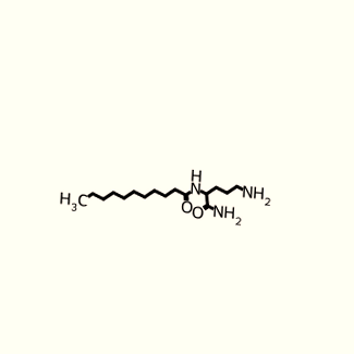 CCCCCCCCCCC(=O)NC(CCCN)C(N)=O